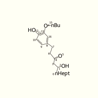 CCCCCCCC(O)CC(=O)CCc1ccc(O)c(OCCCC)c1